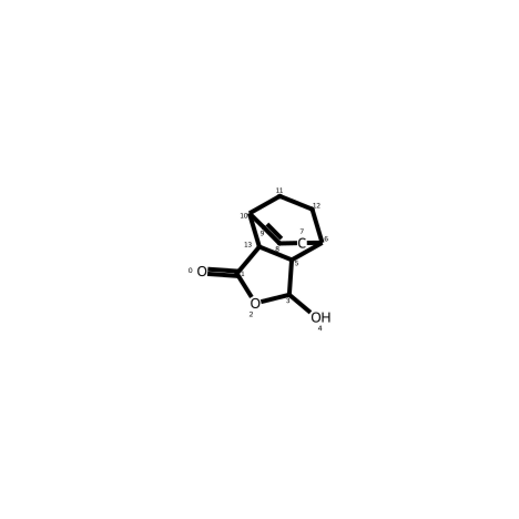 O=C1OC(O)C2C3CC=CC(CC3)C12